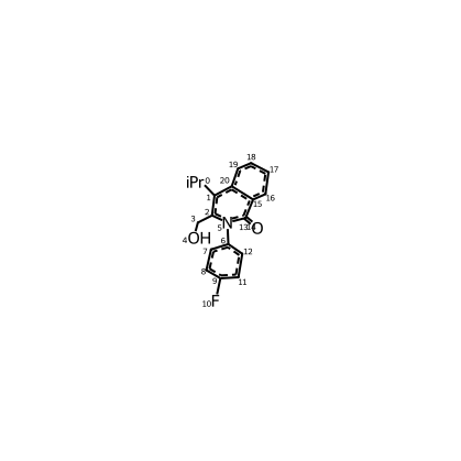 CC(C)c1c(CO)n(-c2ccc(F)cc2)c(=O)c2ccccc12